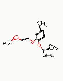 COCCOc1cc(C)ccc1OC(C)C